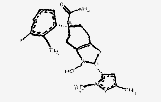 Cc1cc([C@H]2SC3=C(C[C@](C(N)=O)(c4cccc(F)c4C)C3)N2O)n(C)n1